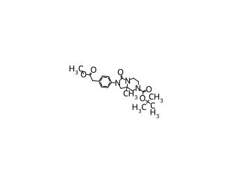 COC(=O)Cc1ccc(N2CC3(C)CN(C(=O)OC(C)(C)C)CCN3C2=O)cc1